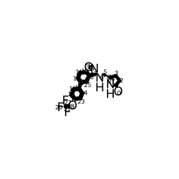 O=C1CC[C@H](CNc2noc3ccc(-c4ccc(OC(F)(F)F)cc4)cc23)N1